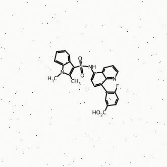 Cc1c(S(=O)(=O)Nc2ccc(-c3cc(C(=O)O)ccc3F)c3ncccc23)c2ccccc2n1C